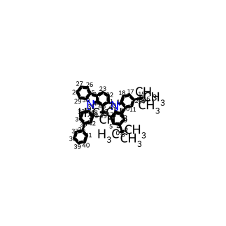 CC(C)(C)c1ccc2c(c1)c1cc(C(C)(C)C)ccc1n2-c1ccc2c3ccccc3n(-c3ccc(-c4ccccc4)cc3)c2c1C(C)(C)C